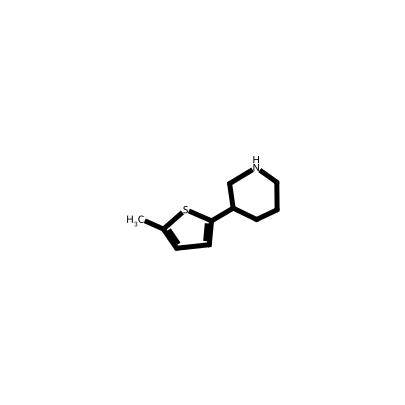 Cc1ccc(C2CCCNC2)s1